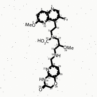 COc1ccc2ncc(F)c(CCN(CC(CNCc3ccc4c(n3)NC(=O)CO4)OC)C(=O)O)c2n1